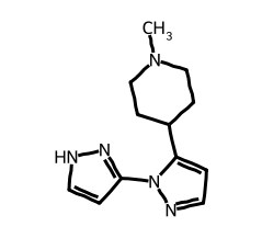 CN1CCC(c2ccnn2-c2cc[nH]n2)CC1